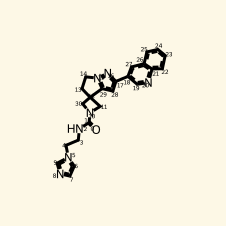 O=C(NCCn1ccnc1)N1CC2(CCn3nc(-c4cnc5ccccc5c4)cc32)C1